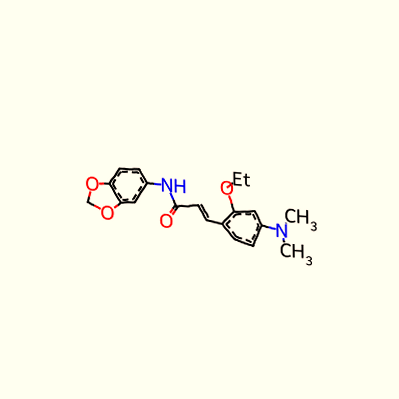 CCOc1cc(N(C)C)ccc1/C=C/C(=O)Nc1ccc2c(c1)OCO2